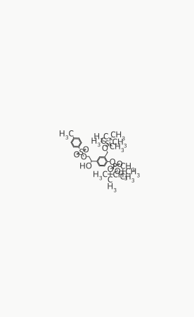 Cc1ccc(S(=O)(=O)OC[C@H](O)c2ccc(OP(=O)(OC(C)(C)C)OC(C)(C)C)c(CO[Si](C)(C)C(C)(C)C)c2)cc1